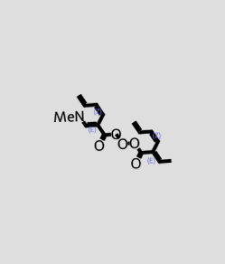 C=C/C=C\C(=C/C)C(=O)OOOC(=O)C(/C=C\C=C)=C/NC